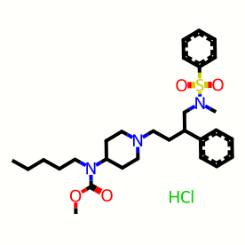 CCCCCN(C(=O)OC)C1CCN(CCC(CN(C)S(=O)(=O)c2ccccc2)c2ccccc2)CC1.Cl